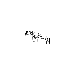 Cn1nc(C(F)(F)F)cc1C(=O)N1CCOC[C@H]1CNC(=O)c1ccc(-c2noc(C(F)(F)F)n2)cc1